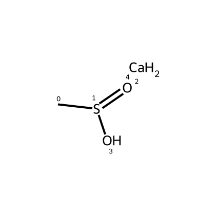 CS(=O)O.[CaH2]